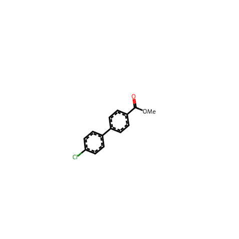 COC(=O)c1ccc(-c2ccc(Cl)cc2)cc1